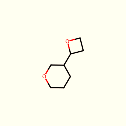 C1COCC(C2CCO2)C1